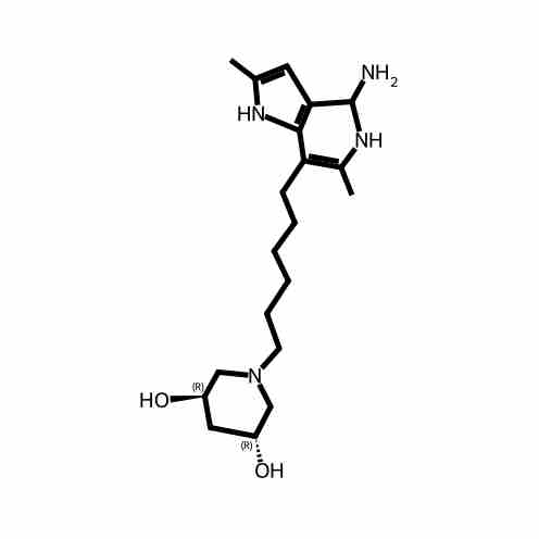 CC1=C(CCCCCCN2C[C@H](O)C[C@@H](O)C2)c2[nH]c(C)cc2C(N)N1